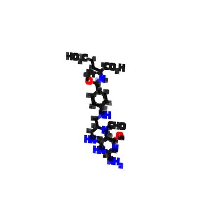 CC(C)O/C(=N\C(CCC(=O)O)C(=O)O)c1ccc(NCC2CNc3[nH]c(N)nc(=O)c3N2C=O)cc1